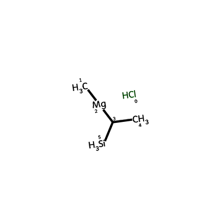 Cl.[CH3][Mg][CH](C)[SiH3]